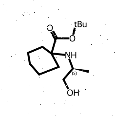 C[C@@H](CO)NC1(C(=O)OC(C)(C)C)CCCCC1